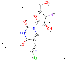 O=c1[nH]c(=O)n([C@@H]2O[C@H](CO)C(I)[C@H]2O)cc1/C=C/Cl